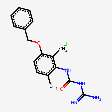 Cc1ccc(OCc2ccccc2)c(C)c1NC(=O)NC(=N)N.Cl